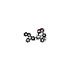 c1ccc(-c2ccc3oc4cccc(-c5nc(-c6ccccc6)nc(-c6ccc(-c7ccccc7)c(-c7ccc8ccccc8c7)c6)n5)c4c3c2)cc1